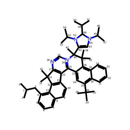 CC(C)Cc1cccc2ccc3c(c12)C(C)(C)c1nc[n+]2c(c1-3)-c1cc(C(C)(C)C)c3ccccc3c1C(C)(C)C2(C)C1=CN(C(C)C)C(C(C)C)N1C(C)C